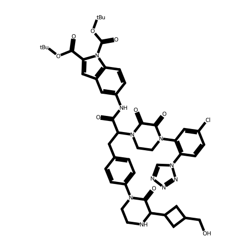 CC(C)(C)OC(=O)c1cc2cc(NC(=O)C(Cc3ccc(N4CCNC(C5CC(CO)C5)C4=O)cc3)N3CCN(c4cc(Cl)ccc4-n4cnnn4)C(=O)C3=O)ccc2n1C(=O)OC(C)(C)C